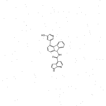 O=C(NC1c2ccccc2-c2c(-c3cncc(O)c3)cccc21)c1ccnc2[nH]ccc12